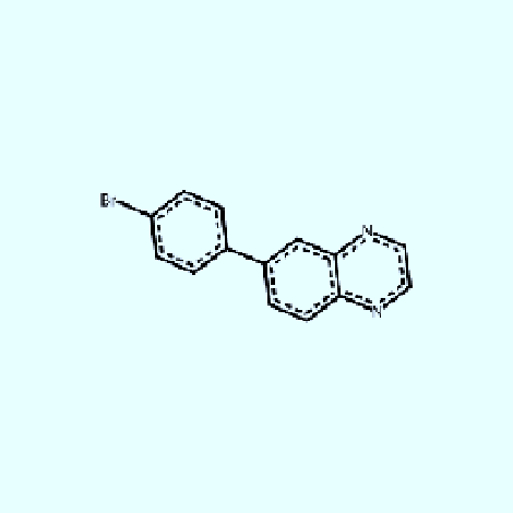 Brc1ccc(-c2ccc3nccnc3c2)cc1